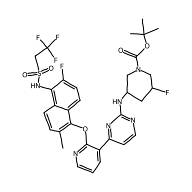 Cc1ccc2c(NS(=O)(=O)CC(F)(F)F)c(F)ccc2c1Oc1ncccc1-c1ccnc(NC2CC(F)CN(C(=O)OC(C)(C)C)C2)n1